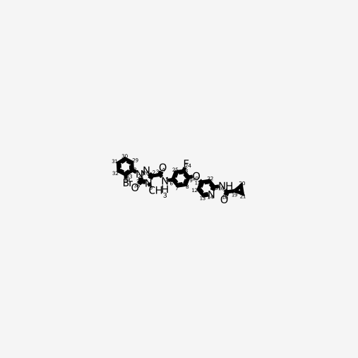 Cn1c(C(=O)Nc2ccc(Oc3ccnc(NC(=O)C4CC4)c3)c(F)c2)nn(-c2ccccc2Br)c1=O